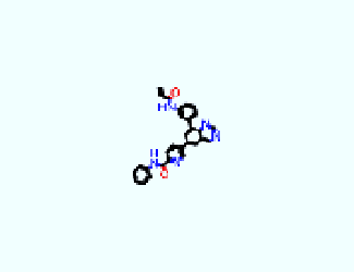 C=CC(=O)Nc1cccc(-c2cc(-c3ccc(C(=O)Nc4ccccc4)nc3)cc3cncnc23)c1